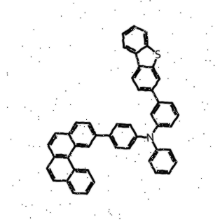 c1ccc(N(c2ccc(-c3ccc4ccc5ccc6ccccc6c5c4c3)cc2)c2cccc(-c3ccc4c(c3)sc3ccccc34)c2)cc1